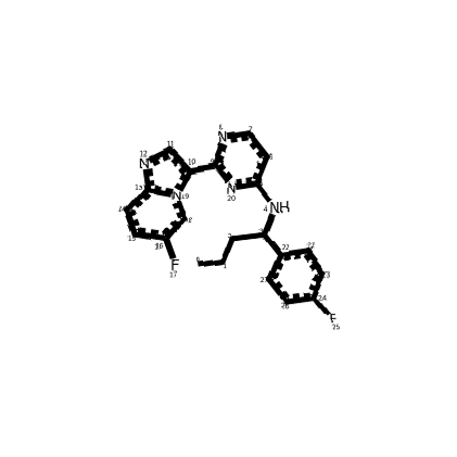 CCCC(Nc1ccnc(-c2cnc3ccc(F)cn23)n1)c1ccc(F)cc1